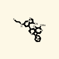 COc1ncc(CN2C3CC2CN(c2ccc(-c4cc(NCCF)cn5ncc(C#N)c45)cn2)C3)cc1Cl